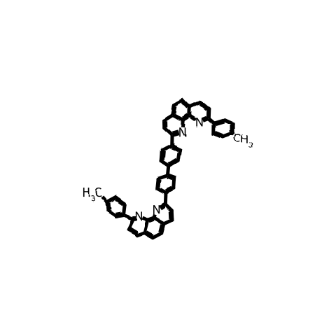 Cc1ccc(-c2ccc3ccc4ccc(-c5ccc(-c6ccc(-c7ccc8ccc9ccc(-c%10ccc(C)cc%10)nc9c8n7)cc6)cc5)nc4c3n2)cc1